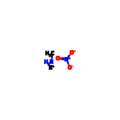 CN.O=[N+]([O-])[O-].[K+]